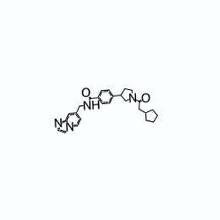 O=C(NCc1ccn2ccnc2c1)c1ccc(C2CCN(C(=O)CC3CCCC3)C2)cc1